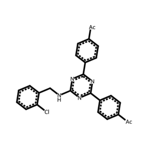 CC(=O)c1ccc(-c2nc(NCc3ccccc3Cl)nc(-c3ccc(C(C)=O)cc3)n2)cc1